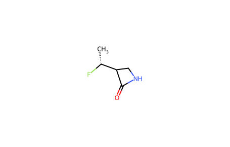 C[C@@H](F)C1CNC1=O